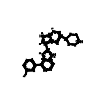 Fc1cccc(-c2nccc3[nH]c(-c4n[nH]c5ncc(C6CCNCC6)cc45)nc23)c1